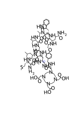 CN/C(=C\N)C[C@H](NC(=O)CNC(=O)C(NC(=O)C(C)NC(=O)[C@H](Cc1c[nH]c2ccccc12)NC(=O)C(CCC(N)=O)NC(=O)COc1ccc(CNC(=O)CN2CCN(CC(=O)O)CCN(CC(=O)O)CCN(CC(=O)O)CC2)cc1)C(C)C)C(=O)NC(CC(C)C)C(=O)N[C@@H](CCSC)C(N)=O